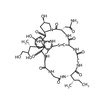 CC[C@H](C)[C@@H]1NC(=O)CNC(=O)C2Cc3c([nH]c4cc(O)ccc34)SCC(NC(=O)CNC1=O)C(=O)N[C@@H](CC(N)=O)C(=O)N1C[C@H](O)CC1C(=O)NC([C@@H](C)C(O)CO)C(=O)N2